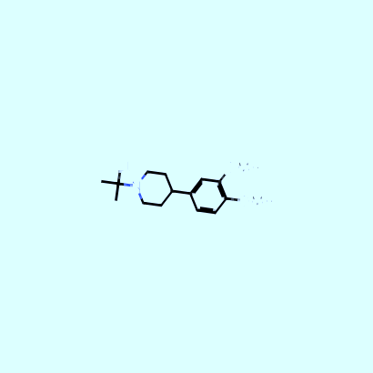 CCC(C)(C)N1CCC(c2ccc(OC)c(OC)c2)CC1